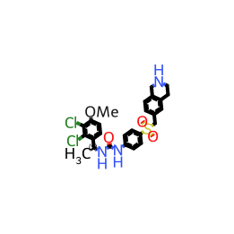 COc1ccc([C@H](C)NC(=O)Nc2ccc(S(=O)(=O)Cc3ccc4c(c3)CCNC4)cc2)c(Cl)c1Cl